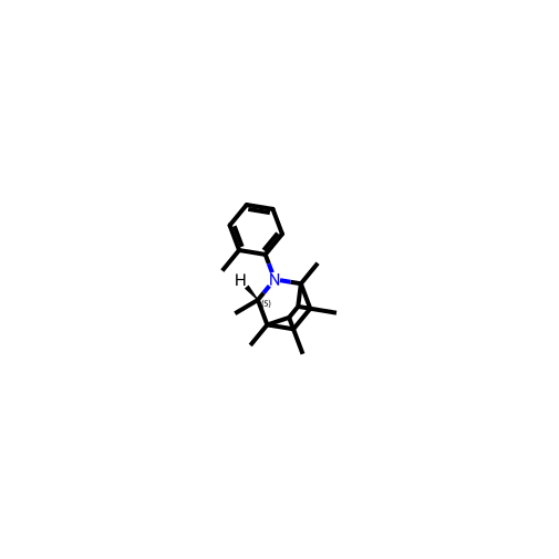 Cc1ccccc1N1[C@@H](C)C2(C)CCC1(C)C(C)C2C